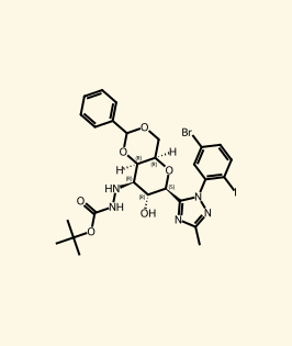 Cc1nc([C@@H]2O[C@@H]3COC(c4ccccc4)O[C@@H]3[C@H](NNC(=O)OC(C)(C)C)[C@H]2O)n(-c2cc(Br)ccc2I)n1